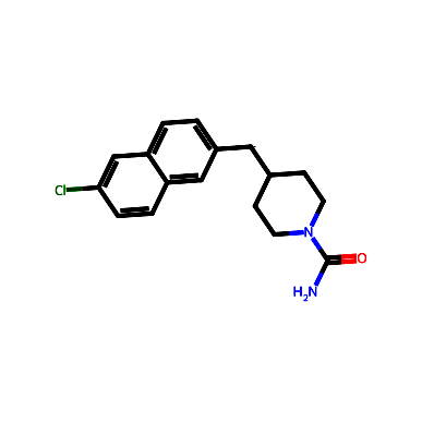 NC(=O)N1CCC([CH]c2ccc3cc(Cl)ccc3c2)CC1